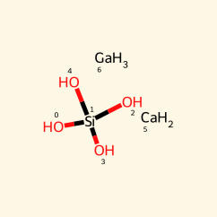 O[Si](O)(O)O.[CaH2].[GaH3]